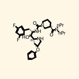 CCCN(CCC)C(=O)[C@@H]1CCCN(C(=O)N[C@@H](Cc2cc(F)cc(F)c2)[C@H](O)[C@H]2C[C@@H](Oc3ccccc3)CN2)C1